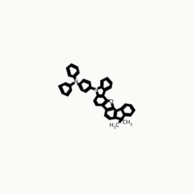 CC1(C)c2ccccc2-c2c1ccc1c2oc2c1ccc1c2c2ccccc2n1-c1ccc(N(c2ccccc2)c2ccccc2)cc1